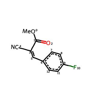 COC(=O)C(C#N)=Cc1ccc(F)cc1